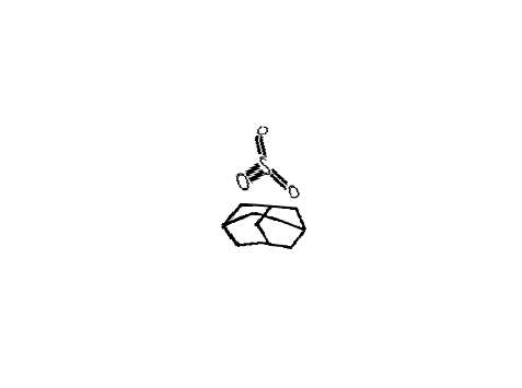 C1C2CC3CC1CC(C2)C3.O=S(=O)=O